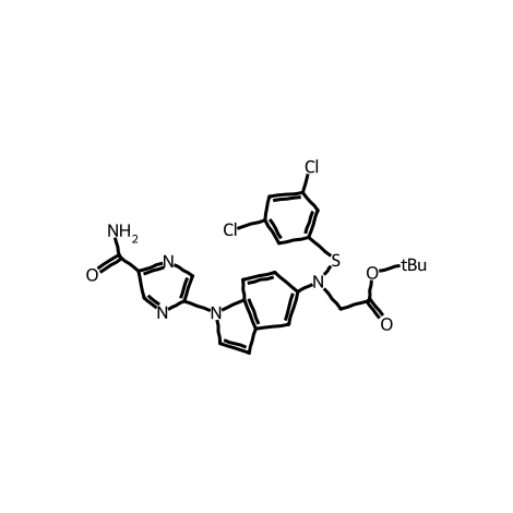 CC(C)(C)OC(=O)CN(Sc1cc(Cl)cc(Cl)c1)c1ccc2c(ccn2-c2cnc(C(N)=O)cn2)c1